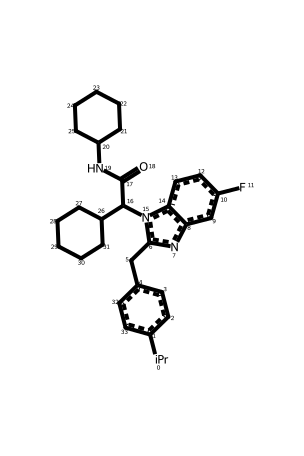 CC(C)c1ccc(Cc2nc3cc(F)ccc3n2C(C(=O)NC2CCCCC2)C2CCCCC2)cc1